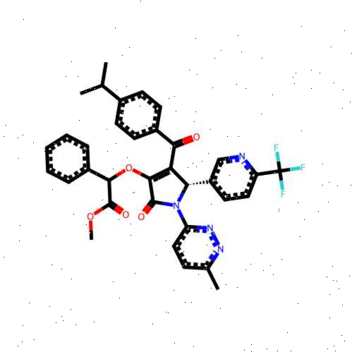 COC(=O)C(OC1=C(C(=O)c2ccc(C(C)C)cc2)[C@H](c2ccc(C(F)(F)F)nc2)N(c2ccc(C)nn2)C1=O)c1ccccc1